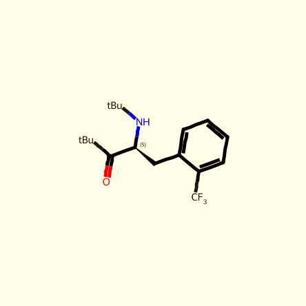 CC(C)(C)N[C@@H](Cc1ccccc1C(F)(F)F)C(=O)C(C)(C)C